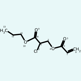 C=CC(=O)OCC(Cl)C(=O)OCCC